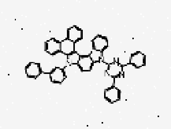 c1ccc(-c2cccc(-n3c4ccc5c(c6ccccc6n5-c5nc(-c6ccccc6)nc(-c6ccccc6)n5)c4c4c5ccccc5c5ccccc5c43)c2)cc1